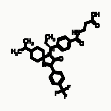 CC[C@H](c1ccc(C(=O)NCCC(=O)O)cc1)N1C(=O)C(c2ccc(C(F)(F)F)cc2)=NC12CCC(C(C)C)CC2